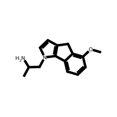 COc1cccc2c1Cc1ccn(CC(C)N)c1-2